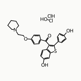 Cl.O=C(c1ccc(OCCN2CCCCC2)cc1)c1c(-c2ccc(O)cc2)sc2cc(O)ccc12.OCl